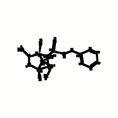 CCO[C@@H]1[C@H]2C(O)O[C@@H]1CN2C(=O)OCc1ccccc1